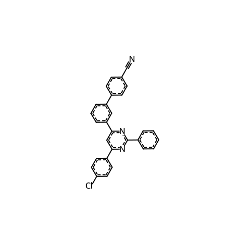 N#Cc1ccc(-c2cccc(-c3cc(-c4ccc(Cl)cc4)nc(-c4ccccc4)n3)c2)cc1